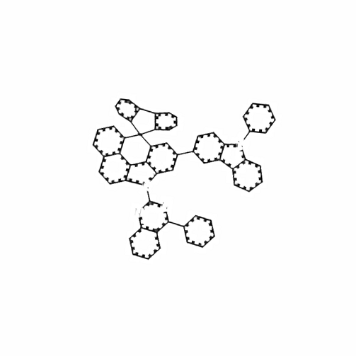 c1ccc(-c2nc(-n3c4cc(-c5ccc6c(c5)c5ccccc5n6-c5ccccc5)cc5c4c4c6c(cccc6ccc43)C53c4ccccc4-c4ccccc43)nc3ccccc23)cc1